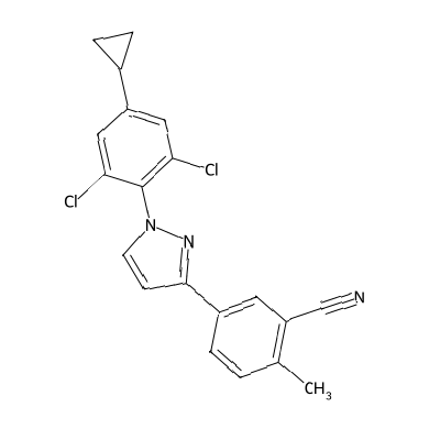 Cc1ccc(-c2ccn(-c3c(Cl)cc(C4CC4)cc3Cl)n2)cc1C#N